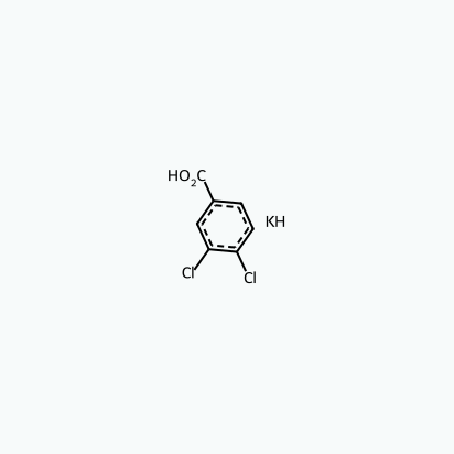 O=C(O)c1ccc(Cl)c(Cl)c1.[KH]